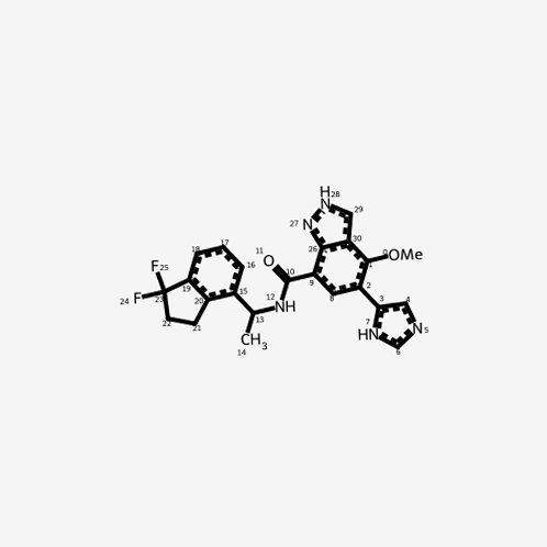 COc1c(-c2cnc[nH]2)cc(C(=O)NC(C)c2cccc3c2CCC3(F)F)c2n[nH]cc12